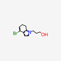 OCCCn1ccc2c1CCC=C2Br